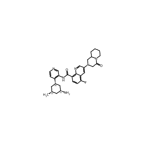 C[C@@H]1C[C@H](N)C[C@H](c2ccncc2NC(=O)c2ccc(F)c3cc(N4CC(=O)N5CCCCC5C4)cnc23)C1